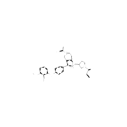 C=CC(=O)N1CCC(n2nc(-c3ccc(Oc4cccc(OC)c4F)cc3)c3c2CCN(C(C)=O)C3)C1